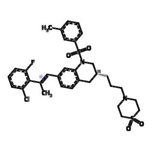 C/C(=C\c1ccc2c(c1)N(S(=O)(=O)c1cccc(C)c1)C[C@H](CCCN1CCS(=O)(=O)CC1)C2)c1c(F)cccc1Cl